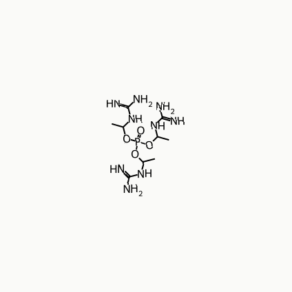 CC(NC(=N)N)OP(=O)(OC(C)NC(=N)N)OC(C)NC(=N)N